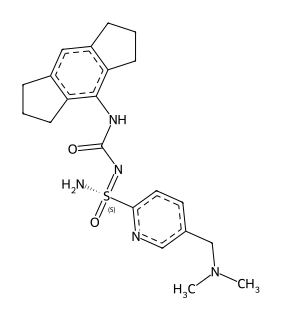 CN(C)Cc1ccc([S@@](N)(=O)=NC(=O)Nc2c3c(cc4c2CCC4)CCC3)nc1